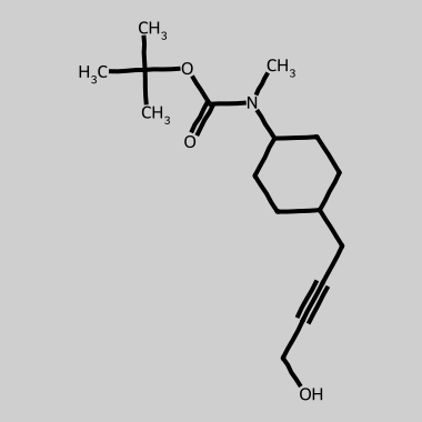 CN(C(=O)OC(C)(C)C)C1CCC(CC#CCO)CC1